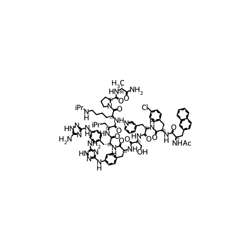 CC(=O)N[C@H](Cc1ccc2ccccc2c1)C(=O)N[C@H](Cc1ccc(Cl)cc1)C(=O)N[C@H](Cc1cccnc1)C(=O)N[C@@H](CO)C(=O)N[C@@H](Cc1ccc(Nc2n[nH]c(N)n2)cc1)C(=O)N[C@H](Cc1ccc(Nc2n[nH]c(N)n2)cc1)C(=O)N[C@@H](CC(C)C)C(=O)N[C@@H](CCCCNC(C)C)C(=O)N1CCC[C@H]1C(=O)N[C@H](C)C(N)=O